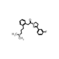 CN(C)CCCc1[c]cccc1CC(=O)N1CCC(c2cccc(F)c2)=N1